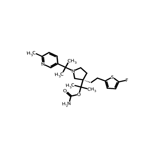 Cc1ccc(C(C)(C)N2CC[C@@](CCc3ccc(F)s3)(C(C)(C)OC(N)=O)C2)cn1